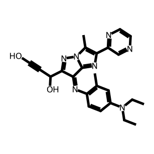 CCN(CC)c1ccc(/N=C2/C(C(O)C#CO)=Nn3c2nc(-c2cnccn2)c3C)c(C)c1